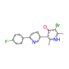 Cc1[nH]c(C)c(-c2ccc(-c3ccc(F)cc3)nc2)c(=O)c1Br